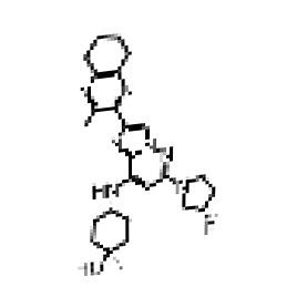 Cc1nc2c(nc1-c1cn3nc(N4CC[C@H](F)C4)cc(N[C@H]4CC[C@](C)(O)CC4)c3n1)CCCC2